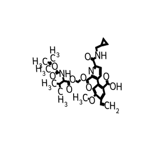 C=Cc1cc(C(=O)O)c(-c2ccc(C(=O)NCC3CC3)nc2C(=O)OCOC(=O)C(NC(=O)OC(C)(C)C)C(C)C)cc1OC